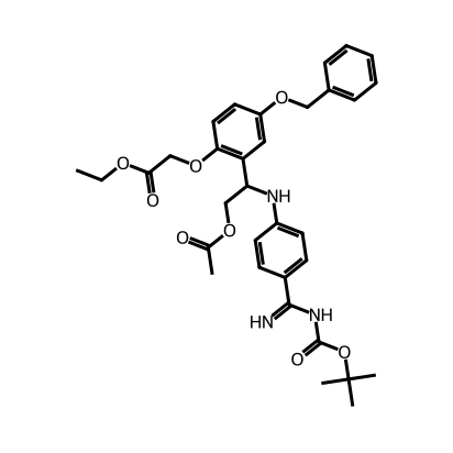 CCOC(=O)COc1ccc(OCc2ccccc2)cc1C(COC(C)=O)Nc1ccc(C(=N)NC(=O)OC(C)(C)C)cc1